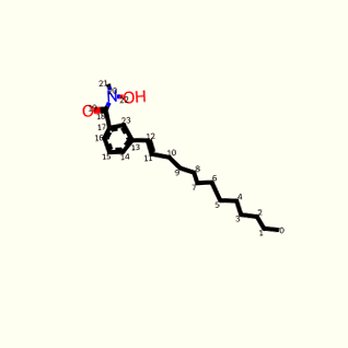 CCCCCCCCCCCC=Cc1cccc(C(=O)N(C)O)c1